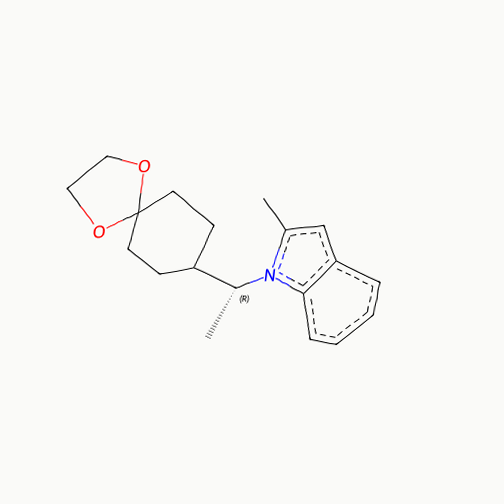 Cc1cc2ccccc2n1[C@H](C)C1CCC2(CC1)OCCO2